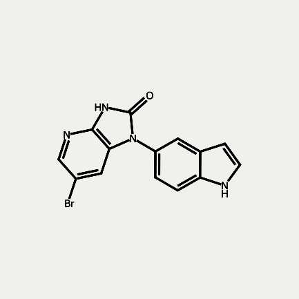 O=c1[nH]c2ncc(Br)cc2n1-c1ccc2[nH]ccc2c1